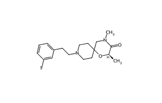 C[C@H]1OC2(CCN(CCc3cccc(F)c3)CC2)CN(C)C1=O